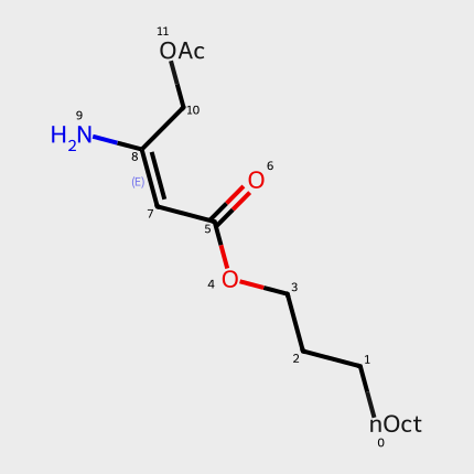 CCCCCCCCCCCOC(=O)/C=C(/N)COC(C)=O